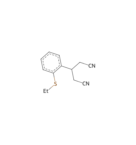 CCSc1ccccc1C(CC#N)CC#N